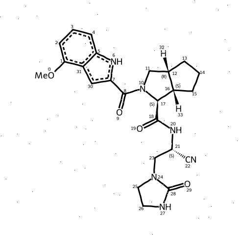 COc1cccc2[nH]c(C(=O)N3C[C@@H]4CCC[C@@H]4[C@H]3C(=O)N[C@H](C#N)CN3CCNC3=O)cc12